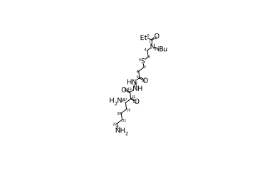 CCC(=O)N(CCSCCC(=O)NNC(=O)C(=O)[C@@H](N)CCCCN)[C@H](C)CC